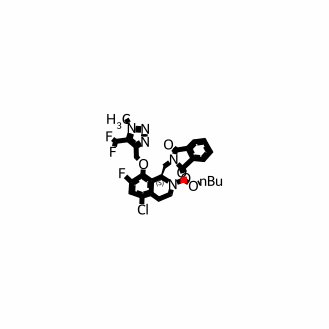 CCCCOC(=O)N1CCc2c(Cl)cc(F)c(OCc3nnn(C)c3C(F)F)c2[C@H]1CN1C(=O)c2ccccc2C1=O